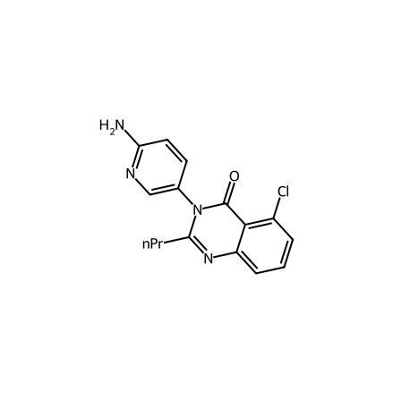 CCCc1nc2cccc(Cl)c2c(=O)n1-c1ccc(N)nc1